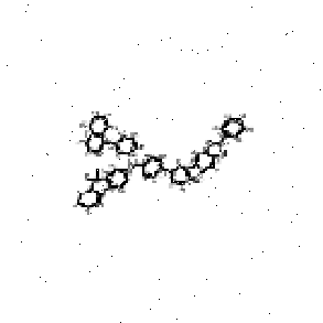 CC1(C)c2ccccc2-c2ccc(N(c3ccc(-c4ccc5oc6cc7nc(-c8ccccc8)oc7cc6c5c4)cc3)c3cccc(-c4cccc5ccccc45)c3)cc21